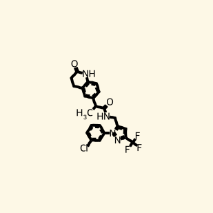 CC(C(=O)NCc1cc(C(F)(F)F)nn1-c1cccc(Cl)c1)c1ccc2c(c1)CCC(=O)N2